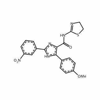 COc1ccc(-c2[nH]c(-c3cccc([N+](=O)[O-])c3)nc2C(=O)NC2=NCCS2)cc1